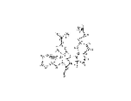 CC1(c2ccc(C(=O)O)cc2)C(=O)N(Cc2ccc3ccc(C=NN)cc3c2)C(=O)N1Cc1ccccc1